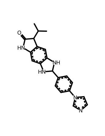 CC(C)C1C(=O)Nc2cc3c(cc21)NC(c1ccc(-n2ccnc2)cc1)N3